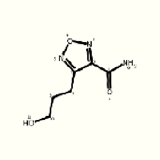 NC(=O)c1nonc1CCCO